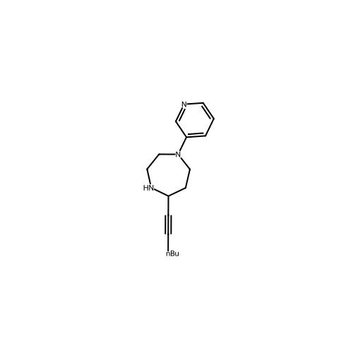 CCCCC#CC1CCN(c2cccnc2)CCN1